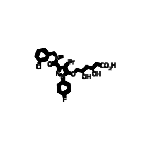 CC(C)c1c(C(=O)N(C)Cc2cccc(Cl)c2)nn(-c2ccc(F)cc2)c1OC[C@@H](O)C[C@@H](O)CC(=O)O